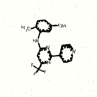 Cc1ccc(O)cc1Nc1cc(C(F)(F)F)nc(-c2ccncc2)n1